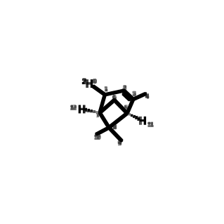 [2H]C1C=C(C)[C@@H]2C[C@H]1C2(C)C